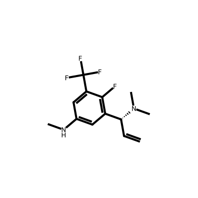 C=C[C@H](c1cc(NC)cc(C(F)(F)F)c1F)N(C)C